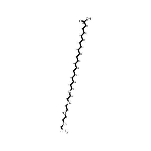 [CH2]COCCOCCOCCOCCCCCCCCCCCCCCCCCCCC(=O)O